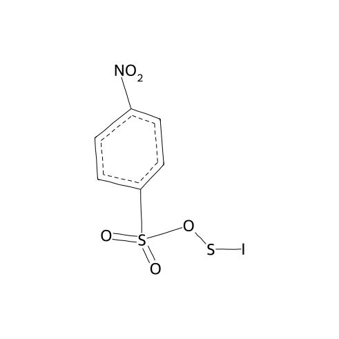 O=[N+]([O-])c1ccc(S(=O)(=O)OSI)cc1